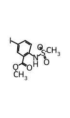 COC(=O)c1cc(I)ccc1NS(C)(=O)=O